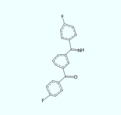 N=C(c1ccc(F)cc1)c1cccc(C(=O)c2ccc(F)cc2)c1